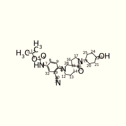 CC(C)OC(=O)Nc1ccc(N2CCC[C@@]3(CCN([C@H]4CC[C@H](O)CC4)C3=O)C2)c(C#N)c1